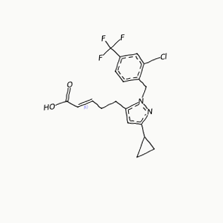 O=C(O)/C=C/CCc1cc(C2CC2)nn1Cc1ccc(C(F)(F)F)cc1Cl